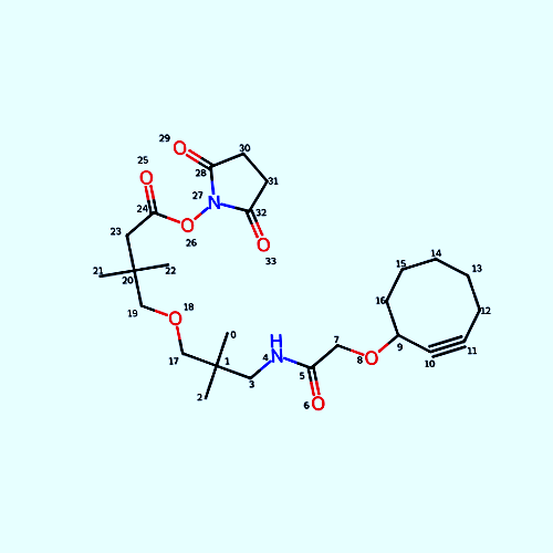 CC(C)(CNC(=O)COC1C#CCCCCC1)COCC(C)(C)CC(=O)ON1C(=O)CCC1=O